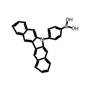 OB(O)c1ccc(-n2c3cc4ccccc4cc3c3cc4ccccc4cc32)cc1